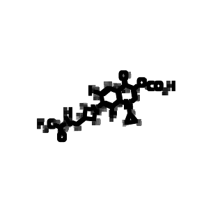 O=C(O)Oc1cn(C2CC2)c2c(F)c(N3CC(CNC(=O)C(F)(F)F)C3)c(F)cc2c1=O